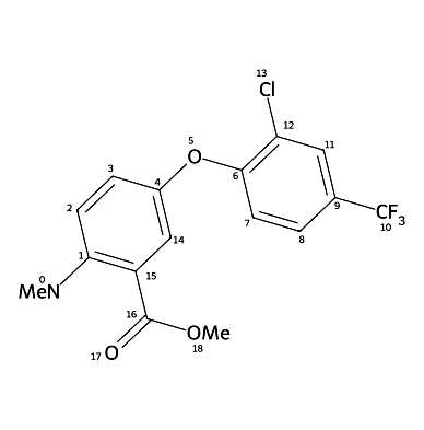 CNc1ccc(Oc2ccc(C(F)(F)F)cc2Cl)cc1C(=O)OC